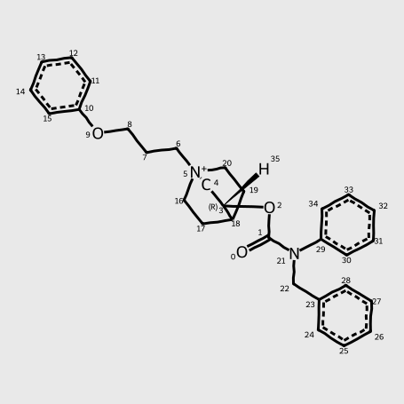 O=C(O[C@H]1C[N+]2(CCCOc3ccccc3)CCC1CC2)N(Cc1ccccc1)c1ccccc1